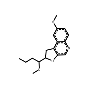 CCCC(OC)C1Cc2c(cnc3ccc(OC)cc23)O1